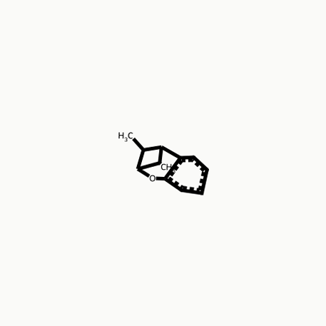 CC1C2Oc3ccccc3C1C2C